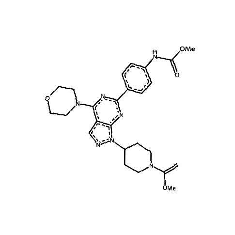 C=C(OC)N1CCC(n2ncc3c(N4CCOCC4)nc(-c4ccc(NC(=O)OC)cc4)nc32)CC1